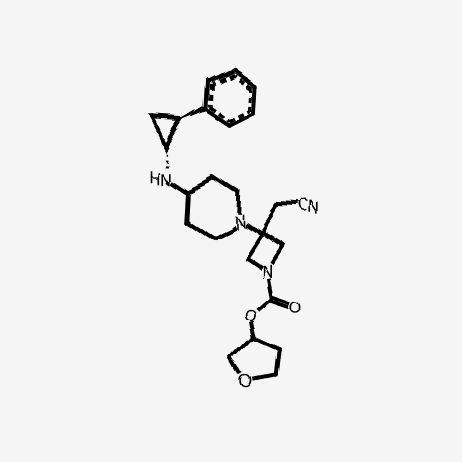 N#CCC1(N2CCC(N[C@@H]3C[C@H]3c3ccccc3)CC2)CN(C(=O)OC2CCOC2)C1